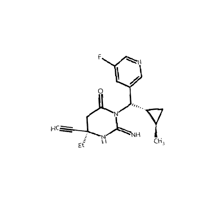 C#C[C@@]1(CC)CC(=O)N(C(c2cncc(F)c2)[C@@H]2C[C@H]2C)C(=N)N1